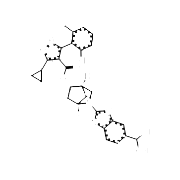 O=C(O[C@H]1C[C@@H]2C[C@H]1CN2c1nc2ccc(C(O)O)cc2s1)c1c(-c2c(Cl)cccc2Cl)noc1C1CC1